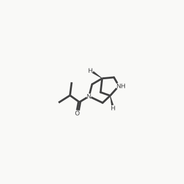 CC(C)C(=O)N1C[C@@H]2CN[C@@H](C2)C1